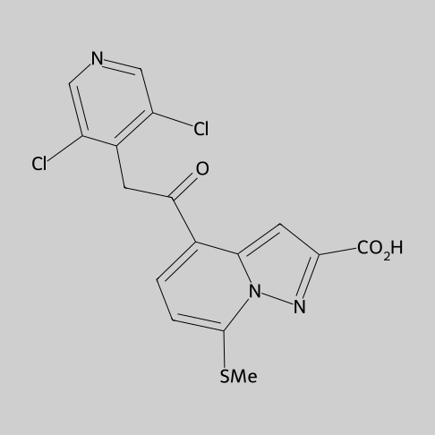 CSc1ccc(C(=O)Cc2c(Cl)cncc2Cl)c2cc(C(=O)O)nn12